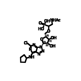 CC(=O)NCC(OC[C@H]1O[C@@H](n2nnc3c(NC4CCCC4)nc(Cl)nc32)[C@H](O)[C@@H]1O)P(=O)(O)O